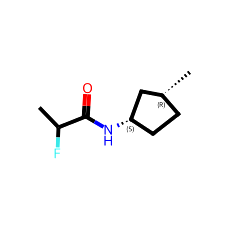 CC(F)C(=O)N[C@H]1CC[C@@H](C)C1